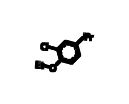 [CH2]C(C)c1ccc(OCC)c(Cl)c1